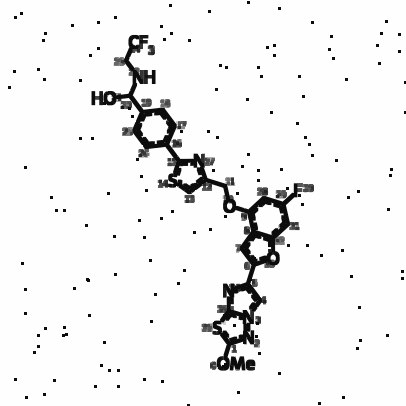 COc1nn2cc(-c3cc4c(OCc5csc(-c6ccc(C(O)NCC(F)(F)F)cc6)n5)cc(F)cc4o3)nc2s1